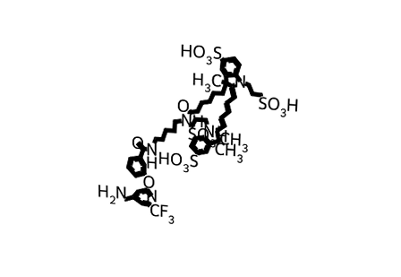 CC1(C)C(/C=C/C=C/C=C2/N(CCCS(=O)(=O)O)c3ccc(S(=O)(=O)O)cc3C2(C)CCCCCC(=O)NCCCCCNC(=O)c2cccc(Oc3cc(CN)cc(C(F)(F)F)n3)c2)=[N+](CCCS(=O)(=O)O)c2ccc(S(=O)(=O)O)cc21